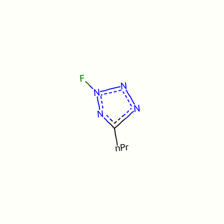 CCCc1nnn(F)n1